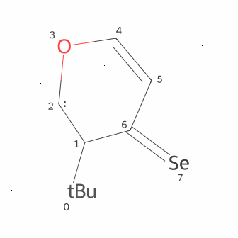 CC(C)(C)C1[C]OC=CC1=[Se]